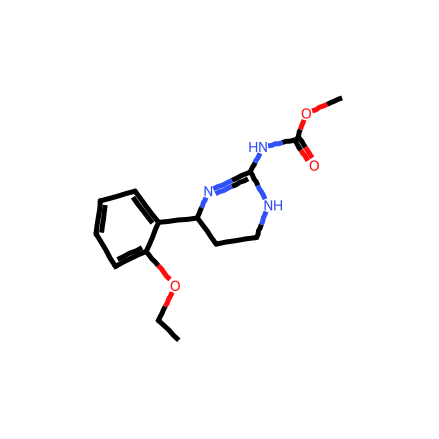 CCOc1ccccc1C1CCNC(NC(=O)OC)=N1